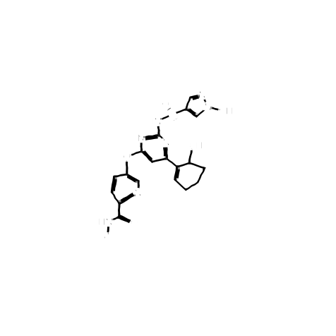 CNC(=O)c1ccc(Oc2cc(C3=CCCCC3C)nc(NS(=O)(=O)c3cnn(C)c3)n2)cn1